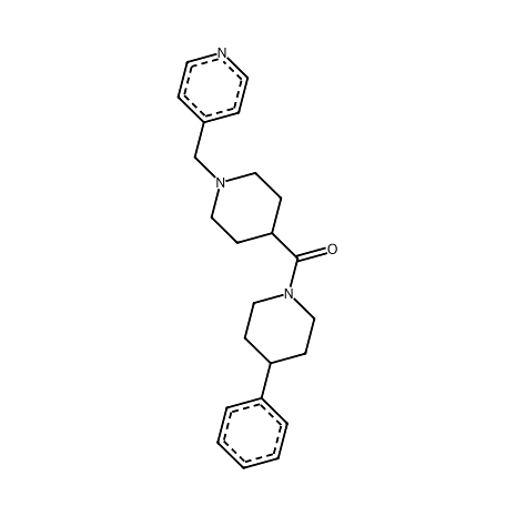 O=C(C1CCN(Cc2ccncc2)CC1)N1CCC(c2ccccc2)CC1